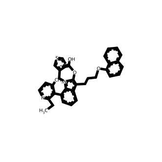 CCc1nccc(C)c1-c1cccc2c(CCCOc3cccc4ccccc34)c(OC(=O)O)n(Cc3cscn3)c12